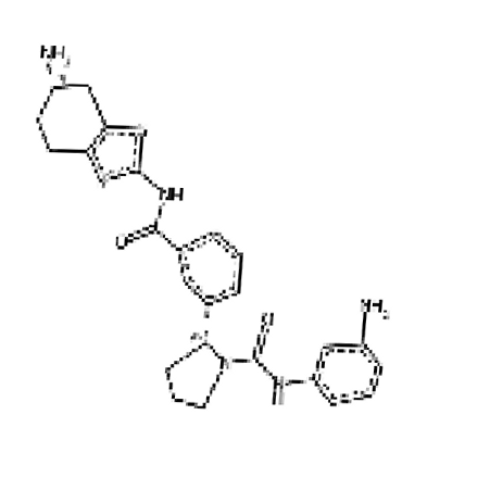 Nc1cccc(NC(=O)N2CCC[C@@H]2c2cccc(C(=O)Nc3nc4c(s3)C[C@@H](N)CC4)c2)c1